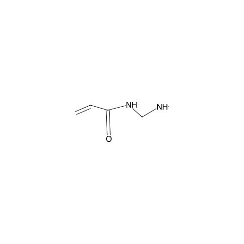 C=CC(=O)NC[NH]